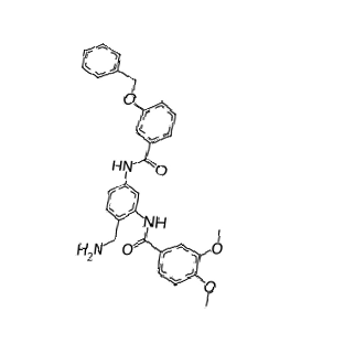 COc1ccc(C(=O)Nc2cc(NC(=O)c3cccc(OCc4ccccc4)c3)ccc2CN)cc1OC